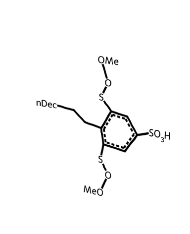 CCCCCCCCCCCCc1c(SOOC)cc(S(=O)(=O)O)cc1SOOC